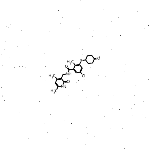 Cc1cc(C)c(CNC(=O)c2cc(Cl)cc(SC3CCC(=O)CC3)c2C)c(=O)[nH]1